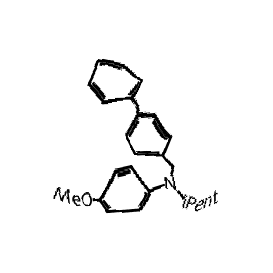 CCCC(C)N(Cc1ccc(-c2ccccc2)cc1)c1ccc(OC)cc1